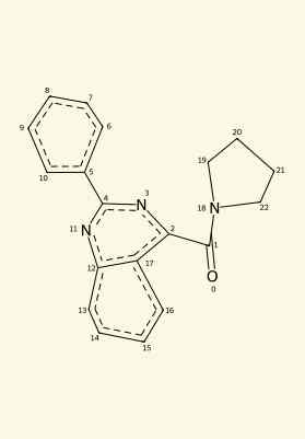 O=C(c1nc(-c2ccccc2)nc2ccccc12)N1CCCC1